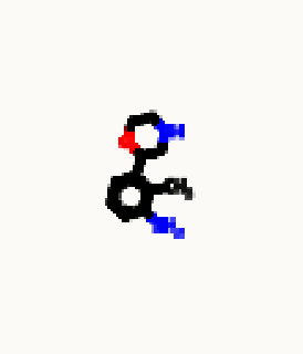 Cc1c(N)cccc1C1CNCCO1